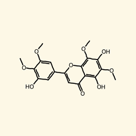 COc1cc(-c2cc(=O)c3c(O)c(OC)c(O)c(OC)c3o2)cc(O)c1OC